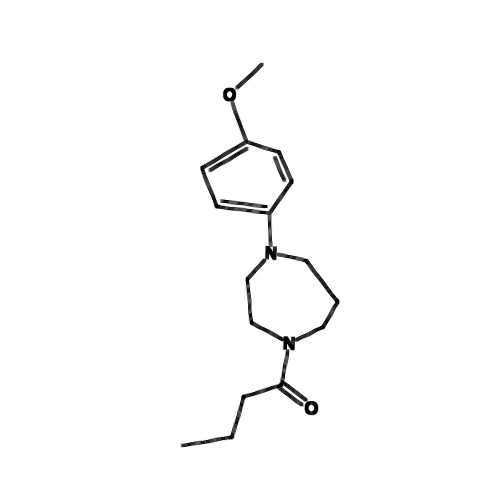 CCCC(=O)N1CCCN(c2ccc(OC)cc2)CC1